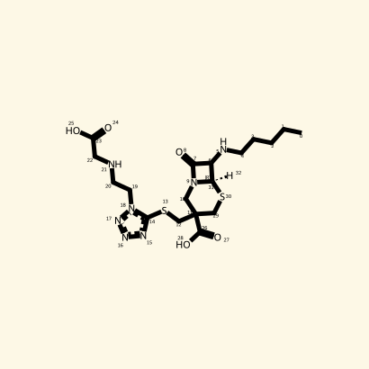 CCCCCNC1C(=O)N2CC(CSc3nnnn3CCNCC(=O)O)(C(=O)O)CS[C@H]12